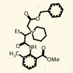 CCC(C(=O)Nc1c(C)cccc1C(=O)OC)[N+]1(CC(=O)OCc2ccccc2)CCCCC1